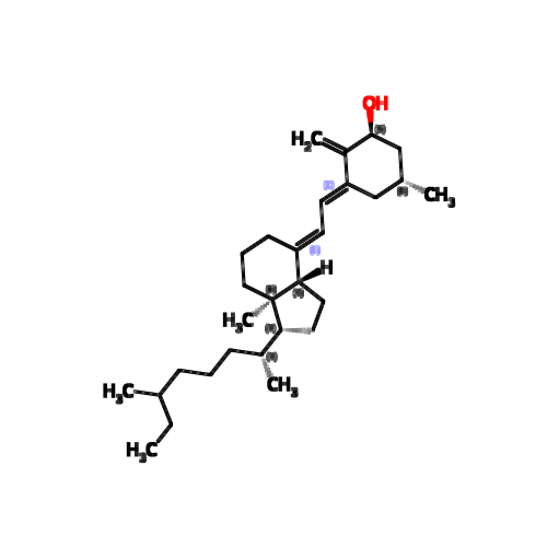 C=C1/C(=C/C=C2\CCC[C@]3(C)[C@@H]([C@H](C)CCCC(C)CC)CC[C@@H]23)C[C@@H](C)C[C@@H]1O